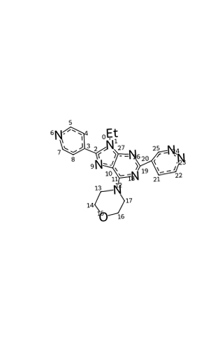 CCn1c(-c2ccncc2)nc2c(N3CCOCC3)nc(-c3ccnnc3)nc21